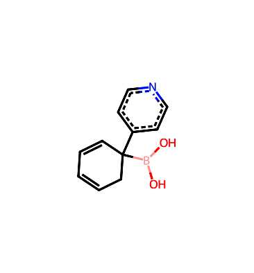 OB(O)C1(c2ccncc2)C=CC=CC1